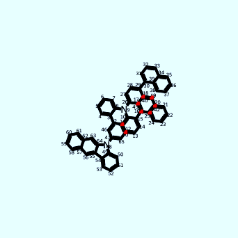 c1cc(-c2ccccc2N(c2ccccc2-c2cccc3ccccc23)c2ccc(-c3cccc4ccccc34)c3ccccc23)cc(-n2c3ccccc3c3cc4ccccc4cc32)c1